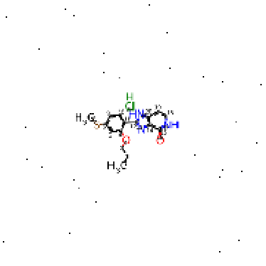 CCCOc1cc(SC)ccc1-c1nc2c(=O)[nH]ccc2[nH]1.Cl